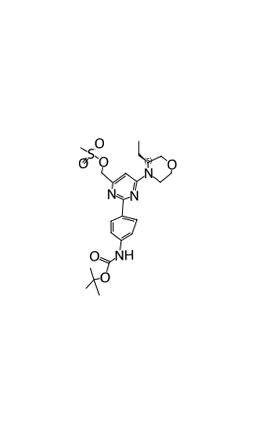 CC[C@H]1COCCN1c1cc(COS(C)(=O)=O)nc(-c2ccc(NC(=O)OC(C)(C)C)cc2)n1